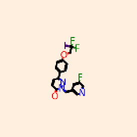 O=c1ccc(-c2ccc(OCC(F)(F)I)cc2)nn1Cc1cncc(F)c1